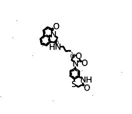 O=C1CSc2ccc(N3C[C@H](CCCN[C@H]4Cn5c(=O)ccc6cccc4c65)OC3=O)cc2N1